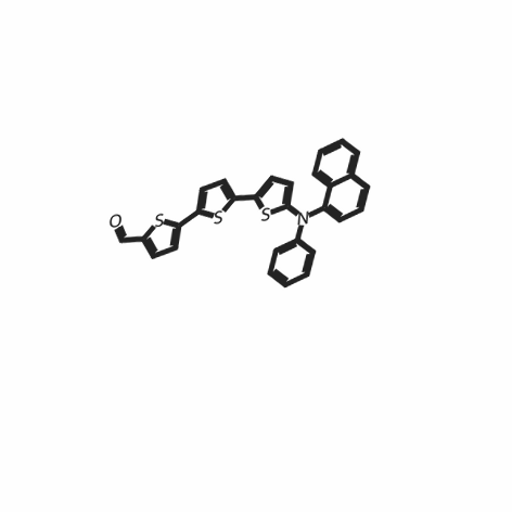 O=Cc1ccc(-c2ccc(-c3ccc(N(c4ccccc4)c4cccc5ccccc45)s3)s2)s1